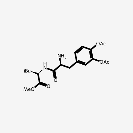 CC[C@H](C)[C@H](NC(=O)[C@@H](N)Cc1ccc(OC(C)=O)c(OC(C)=O)c1)C(=O)OC